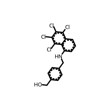 OCc1ccc(CNc2cccc3c(Cl)c(Cl)c(Cl)c(Cl)c23)cc1